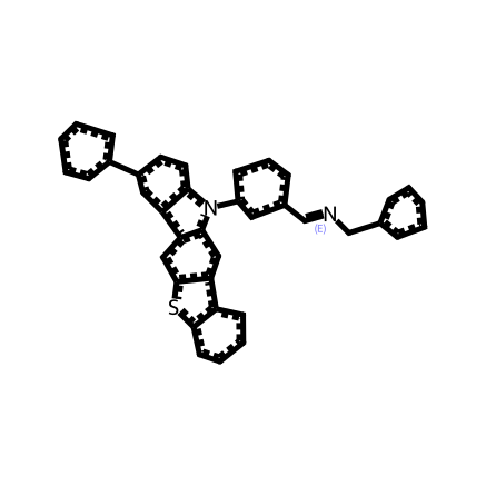 C(=N\Cc1ccccc1)/c1cccc(-n2c3ccc(-c4ccccc4)cc3c3cc4sc5ccccc5c4cc32)c1